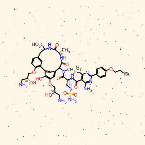 Cc1nc(-c2ccc(OCCC(C)(C)C)cc2)nc(N)c1C(=O)N[C@@H](CNS(N)(=O)=O)C(=O)N(C)C1C(=O)N[C@@H](C)C(=O)NC(C(=O)O)Cc2ccc(OC[C@H](O)CN)c(c2)-c2cc1cc(OC[C@H](O)CN)c2O